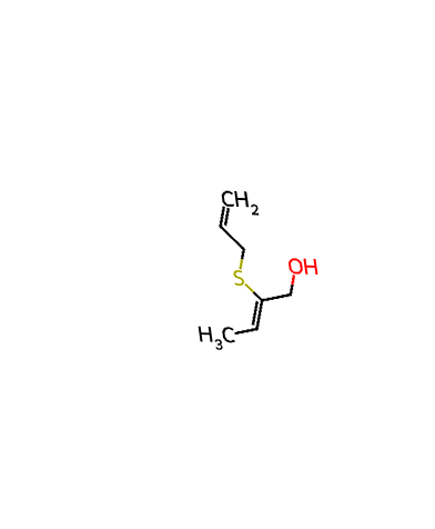 C=CCS/C(=C\C)CO